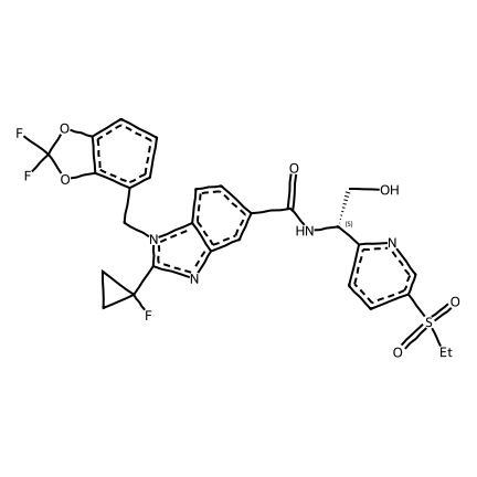 CCS(=O)(=O)c1ccc([C@@H](CO)NC(=O)c2ccc3c(c2)nc(C2(F)CC2)n3Cc2cccc3c2OC(F)(F)O3)nc1